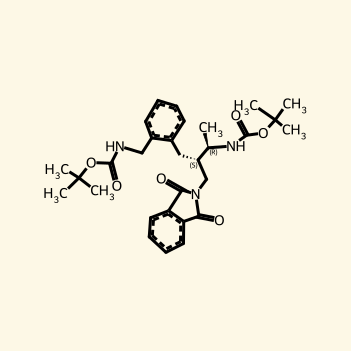 C[C@@H](NC(=O)OC(C)(C)C)[C@@H](Cc1ccccc1CNC(=O)OC(C)(C)C)CN1C(=O)c2ccccc2C1=O